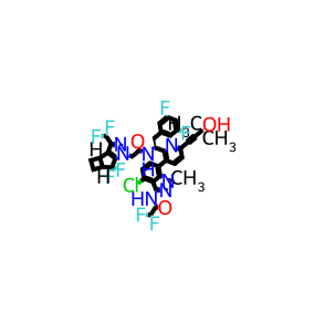 Cn1nc(NC(=O)C(F)F)c2c(Cl)ccc(-c3ccc(C#CC(C)(C)O)nc3[C@H](Cc3cc(F)cc(F)c3)NC(=O)Cn3nc(C(F)F)c4c3C(F)(F)[C@@H]3CC[C@H]43)c21